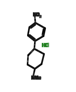 CNC1CCC(c2ccc([N+](=O)[O-])cc2)CC1.Cl